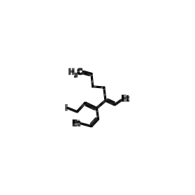 C=CCCC(=C\CC)/C(/C=C\CC)=C/CI